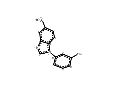 O=C(O)c1ccc2c(c1)ncn2-c1cccc(Cl)c1